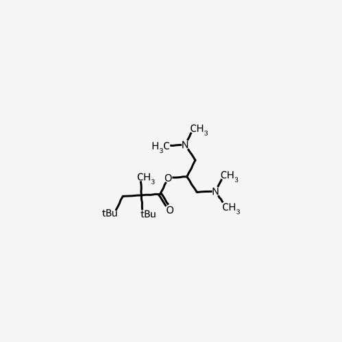 CN(C)CC(CN(C)C)OC(=O)C(C)(CC(C)(C)C)C(C)(C)C